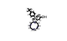 CC(C)(C)c1ccc(S(=O)(=O)N(CC(=O)O)/C2=C/C=C\C/C=N\C=C/C2)cc1